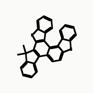 CC1(C)c2ccccc2-c2c1c1sc3ccccc3c1c1c2ccc2sc3ccccc3c21